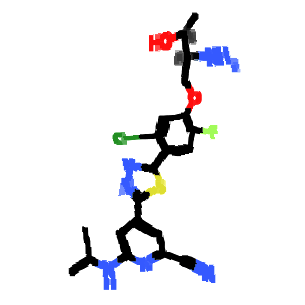 CC(C)Nc1cc(-c2nnc(-c3cc(F)c(OC[C@H](N)[C@H](C)O)cc3Cl)s2)cc(C#N)n1